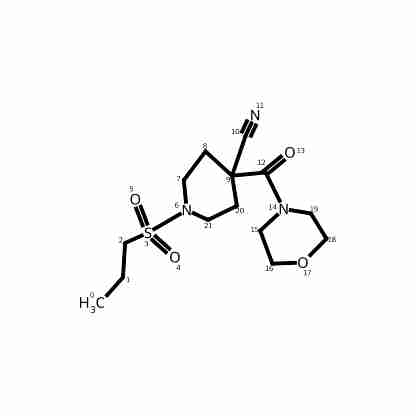 CCCS(=O)(=O)N1CCC(C#N)(C(=O)N2CCOCC2)CC1